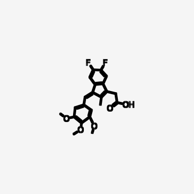 COc1cc(C=C2C(C)=C(CC(=O)O)c3cc(F)c(F)cc32)cc(OC)c1OC